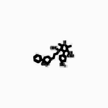 CC1=C(NC=O)C(c2ccc([N+](=O)[O-])cc2)C(N(C=O)CCCN2CCC(C(=O)O)(c3ccccc3)CC2)=C(C)N1